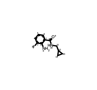 Nc1c(F)cccc1C(=O)NCC1CC1